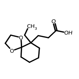 CCC1(CCC(=O)O)CCCCC12OCCO2